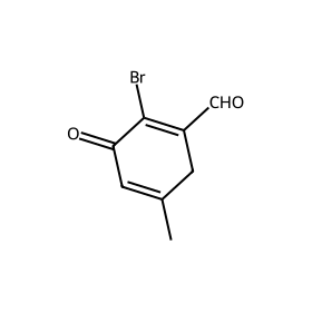 CC1=CC(=O)C(Br)=C(C=O)C1